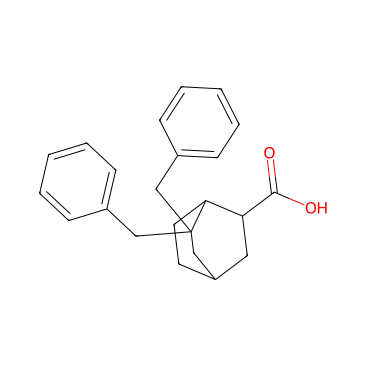 O=C(O)C1CC2CCC1C(Cc1ccccc1)(Cc1ccccc1)C2